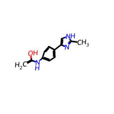 C=C(O)Nc1ccc(-c2c[nH]c(C)n2)cc1